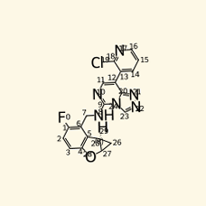 Fc1ccc2c(c1CNc1ncc(-c3cccnc3Cl)c3nncn13)[C@H]1CC1O2